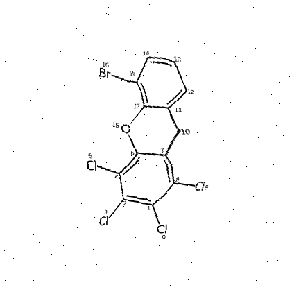 Clc1c(Cl)c(Cl)c2c(c1Cl)Cc1cccc(Br)c1O2